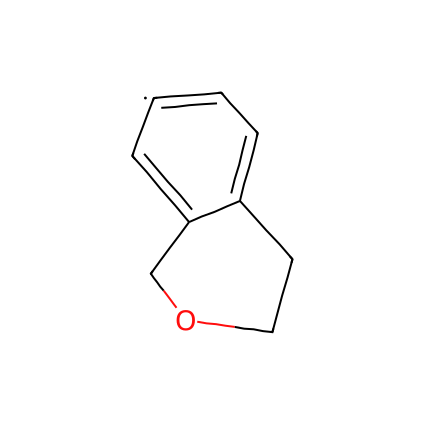 [c]1ccc2c(c1)COCC2